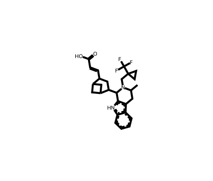 CC1Cc2c([nH]c3ccccc23)C(C2CC(/C=C/C(=O)O)C3CC2C3)N1CC1(C(F)(F)F)CC1